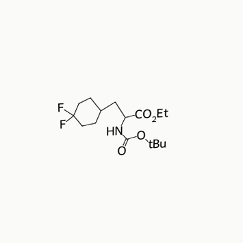 CCOC(=O)C(CC1CCC(F)(F)CC1)NC(=O)OC(C)(C)C